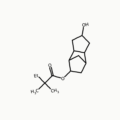 CCC(C)(C)C(=O)OC1CC2CC1C1CC(O)CC21